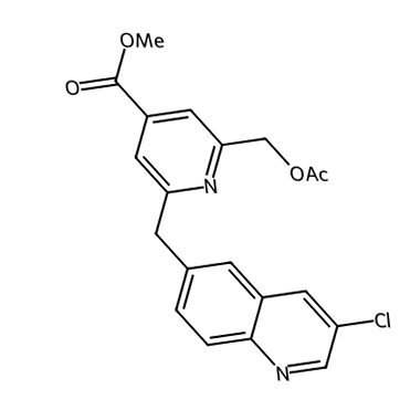 COC(=O)c1cc(COC(C)=O)nc(Cc2ccc3ncc(Cl)cc3c2)c1